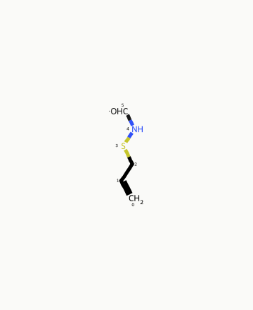 C=CCSN[C]=O